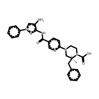 C[C@]1(Cc2ccccc2)CN(c2ccc(C(=O)Nc3nn(-c4ccccc4)cc3N)cn2)CCN1C(=O)O